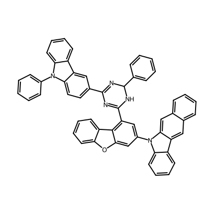 c1ccc(C2N=C(c3ccc4c(c3)c3ccccc3n4-c3ccccc3)N=C(c3cc(-n4c5ccccc5c5cc6ccccc6cc54)cc4oc5ccccc5c34)N2)cc1